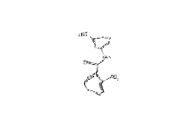 O=[C]c1cccc(NC(=O)c2ccccc2[N+](=O)[O-])c1